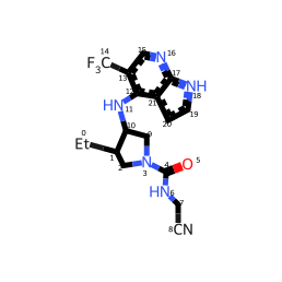 CCC1CN(C(=O)NCC#N)CC1Nc1c(C(F)(F)F)cnc2[nH]ccc12